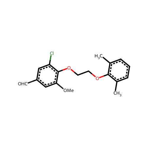 COc1cc(C=O)cc(Cl)c1OCCOc1c(C)cccc1C